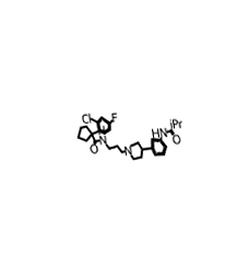 CC(C)C(=O)Nc1cccc(C2CCN(CCCNC(=O)C3(c4ccc(F)cc4Cl)CCCC3)CC2)c1